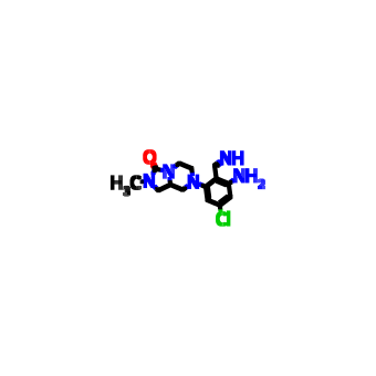 CN1CC2CN(c3cc(Cl)cc(N)c3C=N)CCN2C1=O